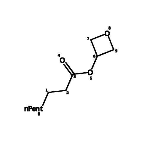 CCCCCCCC(=O)OC1COC1